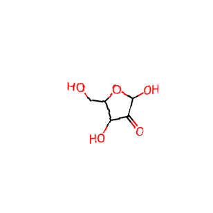 O=C1C(O)OC(CO)C1O